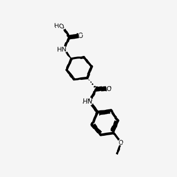 COc1ccc(NC(=O)[C@H]2CC[C@H](NC(=O)O)CC2)cc1